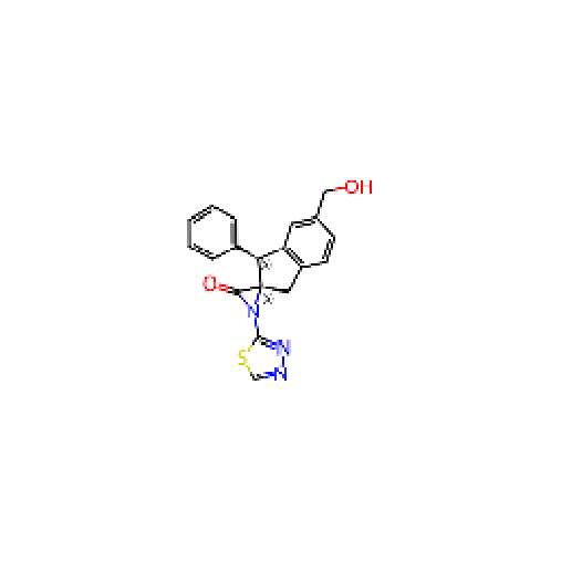 O=C1N(c2nncs2)[C@]12Cc1ccc(CO)cc1[C@@H]2c1ccccc1